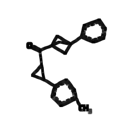 Cc1ccc(C2CC2C(=O)C23CC(c4ccccc4)(C2)C3)cc1